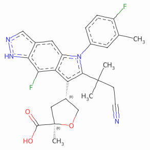 Cc1cc(-n2c(C(C)(C)CC#N)c([C@@H]3CO[C@@](C)(C(=O)O)C3)c3c(F)c4[nH]ncc4cc32)ccc1F